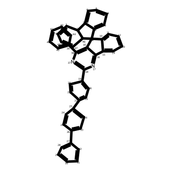 C1=CC2c3ccccc3C3(c4ccccc4-c4nc(-c5ccc(-c6ccc(-c7ccccc7)cc6)cc5)nc(-c5ccccc5)c43)C2C=C1